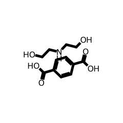 O=C(O)c1ccc(C(=O)O)cc1.OCCNCCO